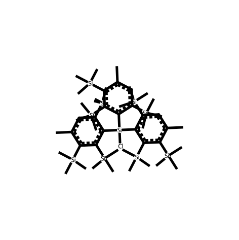 Cc1cc([Si](C)(C)C)c([Si](Cl)(c2c([Si](C)(C)C)cc(C)c([Si](C)(C)C)c2[Si](C)(C)C)c2c([Si](C)(C)C)cc(C)c([Si](C)(C)C)c2[Si](C)(C)C)c([Si](C)(C)C)c1[Si](C)(C)C